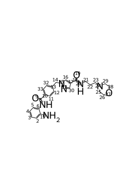 Nc1ccccc1NC(=O)c1ccc(Cn2cc(C(=O)NCCCN3CCOCC3)cn2)cc1